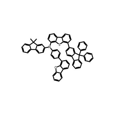 CC1(C)c2ccccc2-c2ccc(N(c3ccc(-c4cccc5c4oc4ccccc45)cc3)c3cccc4c3sc3c(-c5ccc6c(c5)C(c5ccccc5)(c5ccccc5)c5ccccc5-6)cccc34)cc21